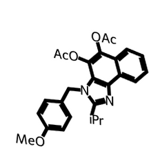 COc1ccc(Cn2c(C(C)C)nc3c4ccccc4c(OC(C)=O)c(OC(C)=O)c32)cc1